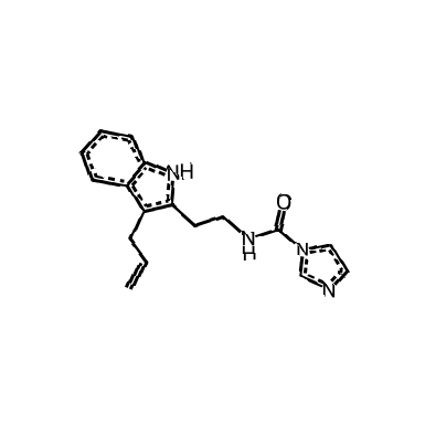 C=CCc1c(CCNC(=O)n2ccnc2)[nH]c2ccccc12